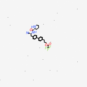 N#C[C@H](Cc1ccc(-c2ccc(CCCOC(=O)C(F)(F)F)cc2)cc1)NC(=O)[C@@H]1CCCCN1